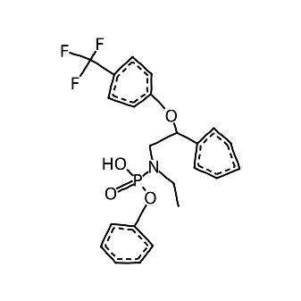 CCN(CC(Oc1ccc(C(F)(F)F)cc1)c1ccccc1)P(=O)(O)Oc1ccccc1